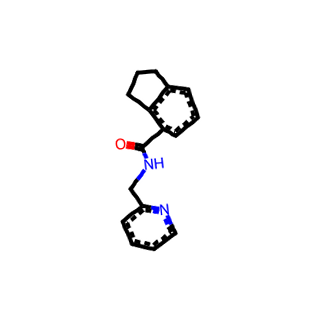 O=C(NCc1ccccn1)c1cccc2c1CCC2